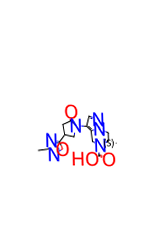 Cc1noc(C2CC(=O)N(c3cnn4c3CN(C(=O)O)[C@@H](C)C4)C2)n1